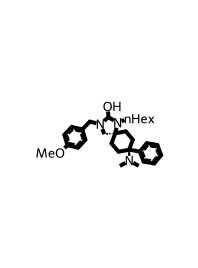 CCCCCCN1C(O)N(Cc2ccc(OC)cc2)C[C@]12CC[C@](c1ccccc1)(N(C)C)CC2